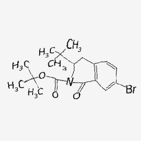 CC(C)(C)OC(=O)N1C(=O)c2cc(Br)ccc2CC1C(C)(C)C